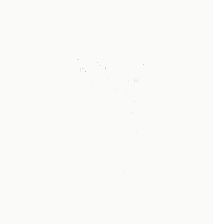 O=c1ccn([C@@H]2O[C@H](CO)C(O)C2Oc2ccc(C3CCC(CCC4CCC4)C3)cc2)c(=O)[nH]1